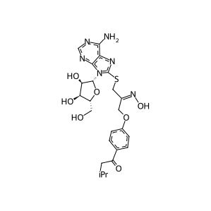 CC(C)CC(=O)c1ccc(OCC(CSc2nc3c(N)ncnc3n2[C@@H]2O[C@H](CO)[C@@H](O)[C@H]2O)=NO)cc1